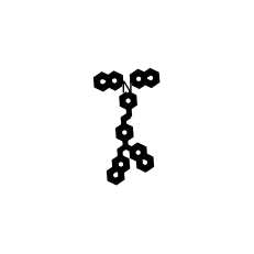 C(=C\c1ccc(N(c2ccc3ccccc3c2)c2ccc3ccccc3c2)cc1)/c1ccc(C(Cc2ccc3ccccc3c2)c2ccc3ccccc3c2)cc1